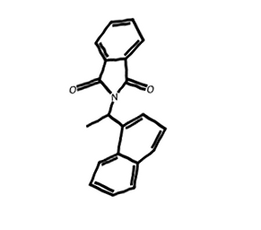 CC(c1cccc2ccccc12)N1C(=O)c2ccccc2C1=O